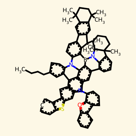 CCCCc1ccc(N2c3cc(N(c4ccc5c(c4)sc4ccccc45)c4cccc5c4oc4ccccc45)cc4c3B(c3c2ccc2c3C(C)(C)c3cc5c(cc3-2)C(C)(C)CCC5(C)C)N2c3c-4cccc3C3(C)CCCCC23C)c(-c2ccccc2)c1